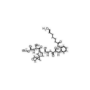 C/C=C/CCCCC(=O)Nc1ccccc1NC(=O)C(=O)CNC(=O)[C@@H]1C[C@@]2(CN1C(=O)[C@@H](NC(=O)OC(C)(C)C)C(C)(C)C)CC21COC1